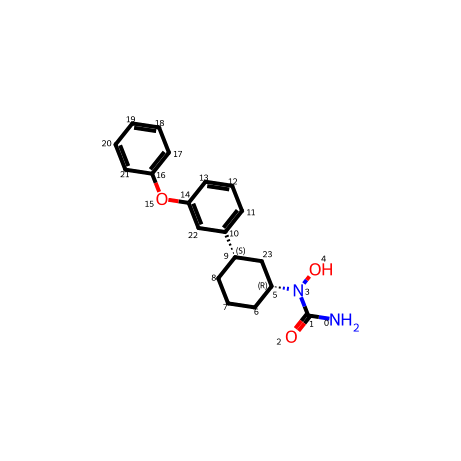 NC(=O)N(O)[C@@H]1CCC[C@H](c2cccc(Oc3ccccc3)c2)C1